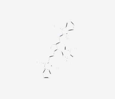 CCN1/C(=C/C=C2\CCC(/C=C/C3=[N+](CC)c4ccccc4C3(C)C)=C2c2c(O)n(C)c(=O)n(C)c2=O)C(C)(C)c2ccccc21